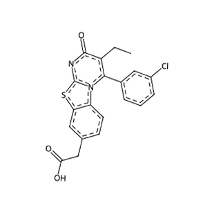 CCc1c(-c2cccc(Cl)c2)n2c(nc1=O)sc1cc(CC(=O)O)ccc12